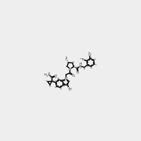 CC(=O)c1cn(CC(=O)N2C[C@H](F)C[C@H]2C(=O)NCc2cccc(Cl)c2F)c2cc(C3(C(N)=O)CC3)ccc12